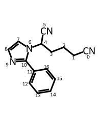 N#CCCCC(C#N)n1ccnc1-c1ccccc1